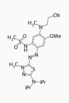 COc1cc(N=Nc2sc(N(C(C)C)C(C)C)n[n+]2C)c(NS(C)(=O)=O)cc1N(C)CCC#N